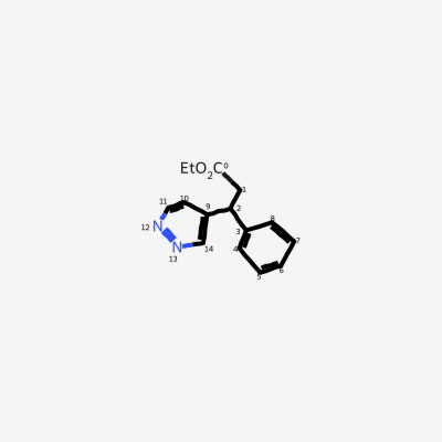 CCOC(=O)CC(c1ccccc1)c1ccnnc1